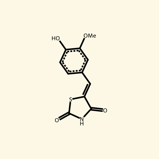 COc1cc(/C=C2\SC(=O)NC2=O)ccc1O